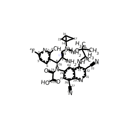 Cc1nc(F)ccc1[C@@H](/C(N)=C/N(N)C12CC1C2)N(C(=O)C(=O)O)c1cc(C#N)c2ncc(C#N)c(N[C@H](C)C(C)(C)C)c2c1